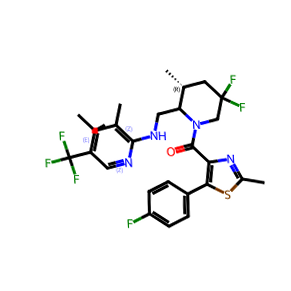 C\C=C(/C=N\C(NCC1[C@H](C)CC(F)(F)CN1C(=O)c1nc(C)sc1-c1ccc(F)cc1)=C(\C)CC)C(F)(F)F